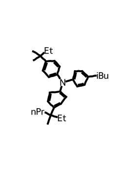 CCCC(C)(CC)c1ccc(N(c2ccc(C(C)CC)cc2)c2ccc(C(C)(C)CC)cc2)cc1